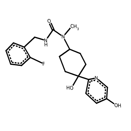 CN(C(=O)NCc1ccccc1F)C1CCC(O)(c2ccc(O)cn2)CC1